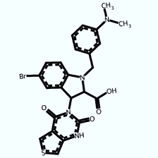 CN(C)c1cccc(CN2c3ccc(Br)cc3C(n3c(=O)[nH]c4cscc4c3=O)C2C(=O)O)c1